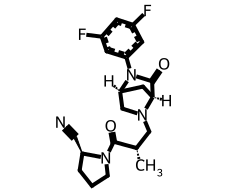 C[C@@H](CN1C[C@@H]2C[C@H]1C(=O)N2c1cc(F)cc(F)c1)C(=O)N1CCC[C@H]1C#N